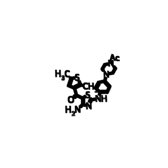 CC(=O)N1CCN(c2ccc(Nc3nc(N)c(C(=O)c4cc(C)sc4C)s3)cc2)CC1